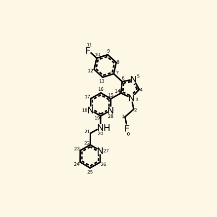 FCCn1cnc(-c2ccc(F)cc2)c1-c1ccnc(NCc2ccccn2)n1